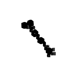 O=C(Nc1ccccc1-c1ccccc1)OC1CCN(CCc2ccc(CCNCc3cc(Cl)c(O)c(Cl)c3)cc2)CC1